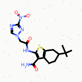 CC(C)(C)C1CCc2c(sc(NC(=O)Cn3cnc([N+](=O)[O-])n3)c2C(N)=O)C1